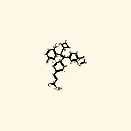 O=C(O)/C=C/c1ccc(/C(=C(\c2cc(F)ccc2Cl)C2CCC2)c2ccc3scnc3c2)cc1